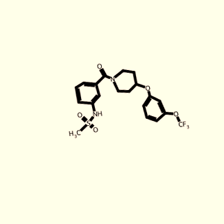 CS(=O)(=O)Nc1cccc(C(=O)N2CCC(Oc3cccc(OC(F)(F)F)c3)CC2)c1